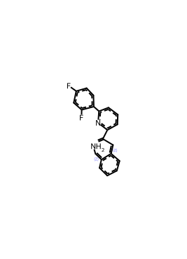 C=C(/C=c1/cccc/c1=C/N)c1cccc(-c2ccc(F)cc2F)n1